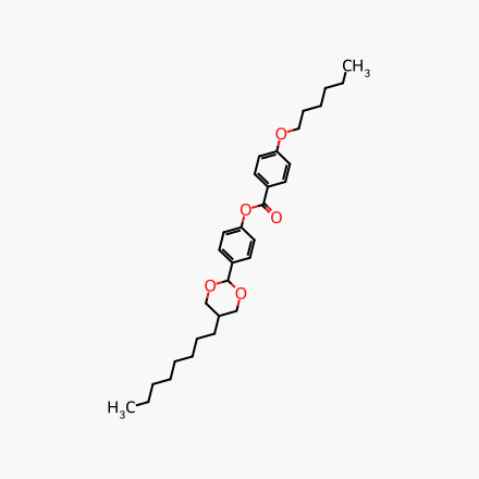 CCCCCCCCC1COC(c2ccc(OC(=O)c3ccc(OCCCCCC)cc3)cc2)OC1